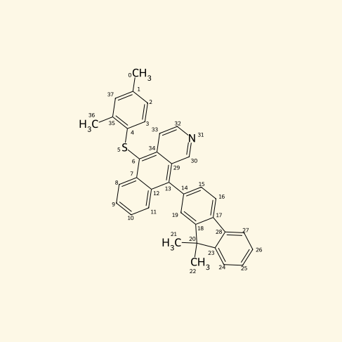 Cc1ccc(Sc2c3ccccc3c(-c3ccc4c(c3)C(C)(C)c3ccccc3-4)c3cnccc23)c(C)c1